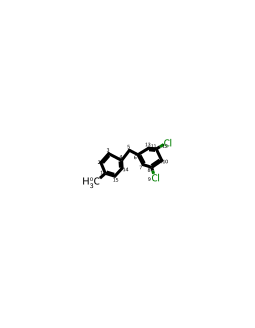 Cc1ccc(Cc2cc(Cl)[c]c(Cl)c2)cc1